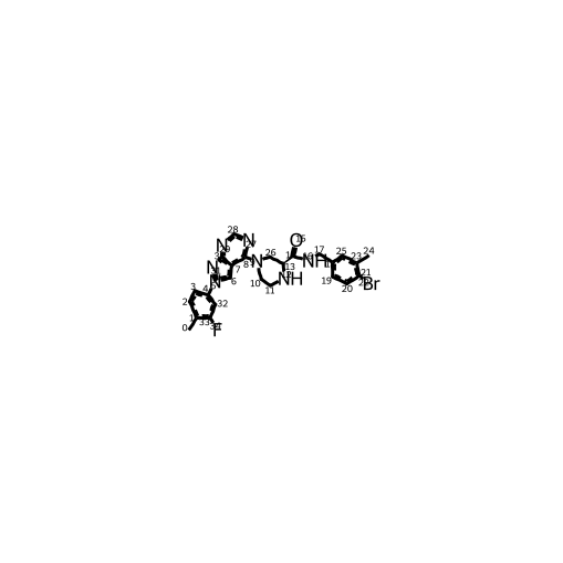 Cc1ccc(-n2cc3c(N4CCN[C@H](C(=O)NCc5ccc(Br)c(C)c5)C4)ncnc3n2)cc1F